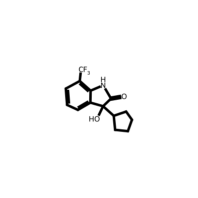 O=C1Nc2c(C(F)(F)F)cccc2C1(O)C1CCCC1